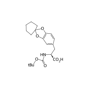 CC(C)(C)OC(=O)N[C@@H](Cc1ccc2c(c1)OC1(CCCCC1)O2)C(=O)O